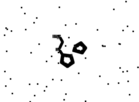 O=C(O)CNc1cccs1.c1ccsc1